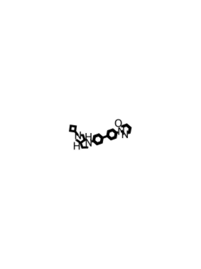 O=c1cccnn1-c1ccc(-c2ccc(N3CC[C@@H]4CN(C5CCC5)C[C@@H]43)cc2)cc1